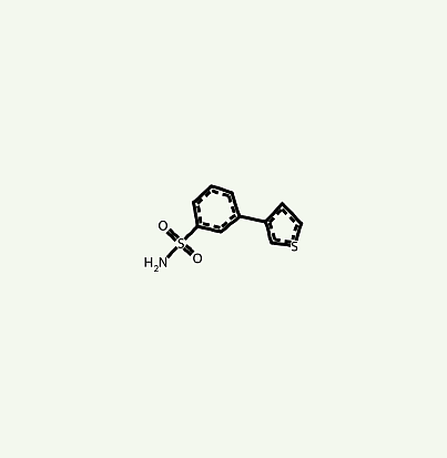 NS(=O)(=O)c1cccc(-c2ccsc2)c1